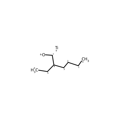 CCCCC(CC)C[O].[Ti]